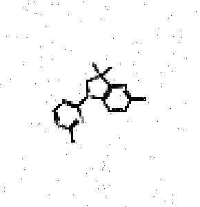 Cc1ccc2c(n1)C(C)(C)CN2c1ncnc(C)n1